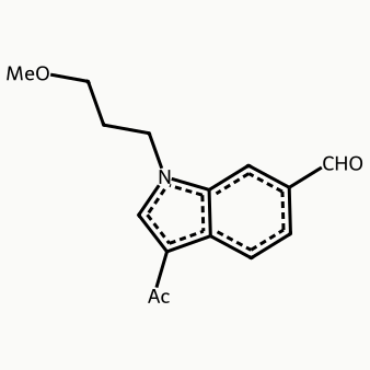 COCCCn1cc(C(C)=O)c2ccc(C=O)cc21